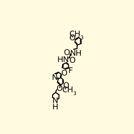 COc1cccc(CCNC(=O)C(=O)Nc2ccc(Oc3ccnc4cc(OCC5CCNCC5)c(OC)cc34)c(F)c2)c1